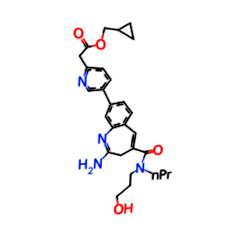 CCCN(CCCO)C(=O)C1=Cc2ccc(-c3ccc(CC(=O)OCC4CC4)nc3)cc2N=C(N)C1